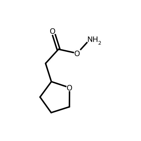 NOC(=O)CC1CCCO1